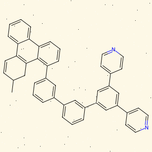 CC1C=Cc2c(c3c(-c4cccc(-c5cccc(-c6cc(-c7ccncc7)cc(-c7ccncc7)c6)c5)c4)cccc3c3ccccc23)C1